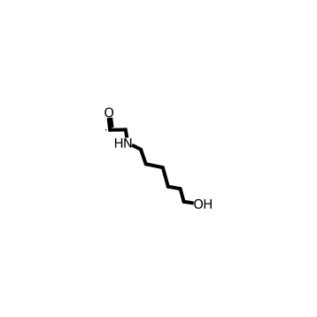 O=[C]CNCCCCCCO